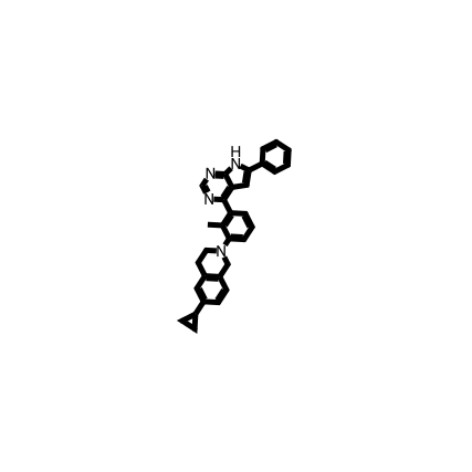 Cc1c(-c2ncnc3[nH]c(-c4ccccc4)cc23)cccc1N1CCc2cc(C3CC3)ccc2C1